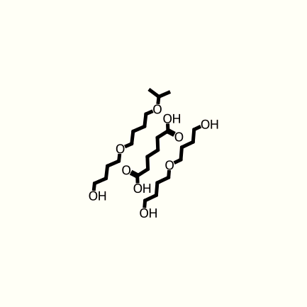 CC(C)OCCCCOCCCCO.O=C(O)CCCCC(=O)O.OCCCCOCCCCO